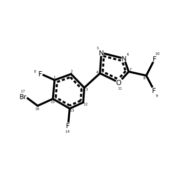 Fc1cc(-c2nnc(C(F)F)o2)cc(F)c1CBr